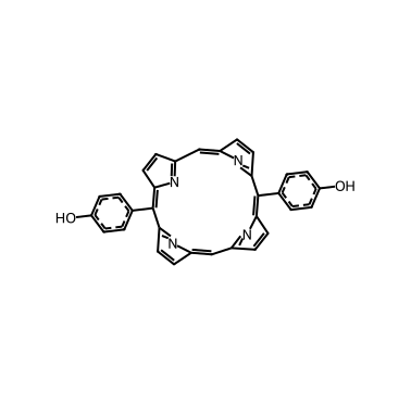 Oc1ccc(C2=C3C=CC(=N3)C=C3C=CC(=N3)C(c3ccc(O)cc3)=C3C=CC(=N3)C=C3C=CC2=N3)cc1